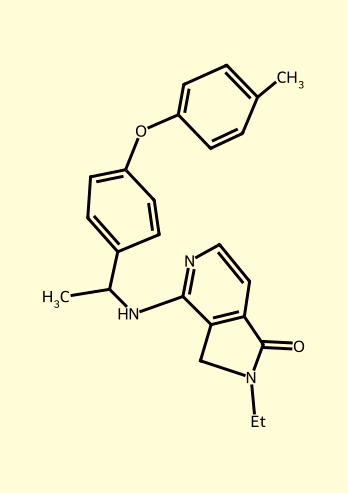 CCN1Cc2c(ccnc2NC(C)c2ccc(Oc3ccc(C)cc3)cc2)C1=O